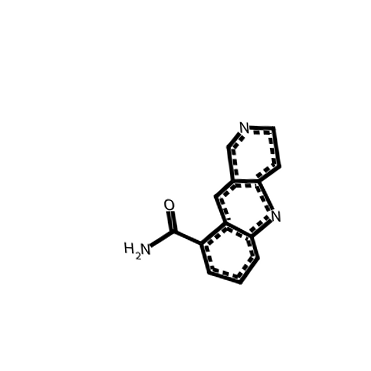 NC(=O)c1cccc2nc3ccncc3cc12